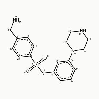 NCc1ccc(S(=O)(=O)Nc2cccc(N3CCNCC3)c2)cc1